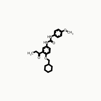 CCC(=O)c1cc(NC(=O)Nc2ccc(OC)cc2)ccc1OCC1CCCCC1